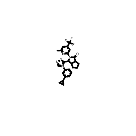 Cc1cc(C(F)(F)F)cc(N2C(=O)C3CCCC3C2c2nncn2-c2cccc(C3CC3)c2)n1